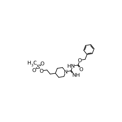 CS(=O)(=O)OCCC1CCN(C(=N)NC(=O)OCc2ccccc2)CC1